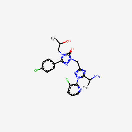 CC(N)c1nc(Cn2nc(-c3ccc(Cl)cc3)n(CC(O)C(F)(F)F)c2=O)nn1-c1ncccc1Cl